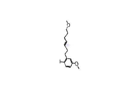 COCCC/C=C/CCc1cc(OC)ccc1I